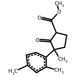 COC(=O)C1CCC(C)(c2ccc(C)cc2C)C1=O